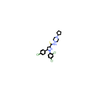 S=C(NN1CCN(C2CCCC2)CC1)C1=NN(c2ccc(Cl)cc2Cl)C(c2ccc(Cl)cc2)C1